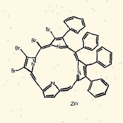 BrC1=C(Br)C2=NC1=CC1=NC(=CC3=NC(=C(c4ccccc4)C4=NC(=C2Br)C(Br)=C4c2ccccc2)C(c2ccccc2)=C3c2ccccc2)C=C1.[Zn]